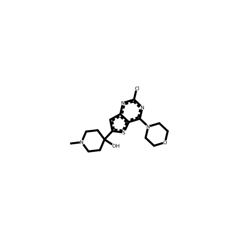 CN1CCC(O)(c2cc3nc(Cl)nc(N4CCOCC4)c3s2)CC1